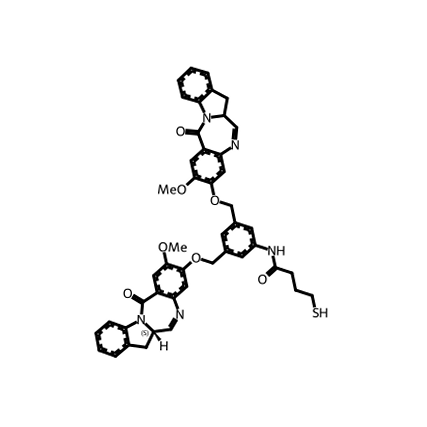 COc1cc2c(cc1OCc1cc(COc3cc4c(cc3OC)C(=O)N3c5ccccc5C[C@H]3C=N4)cc(NC(=O)CCCS)c1)N=CC1Cc3ccccc3N1C2=O